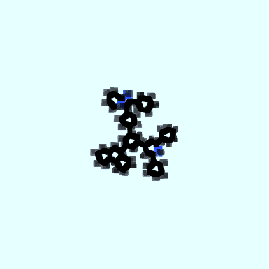 c1ccc(-c2cc(-c3cc(-c4ccc(-c5c(-c6ccccc6)nc6ccccn56)cc4)cc(-c4cc5ccccc5c5ccccc45)c3)cc(-c3ccccc3)n2)cc1